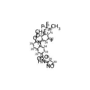 COc1cc(C[C@@H](C)C(F)(F)F)c(F)cc1-n1c(=O)ccc2cc(S(=O)(=O)Nc3ccon3)ccc21